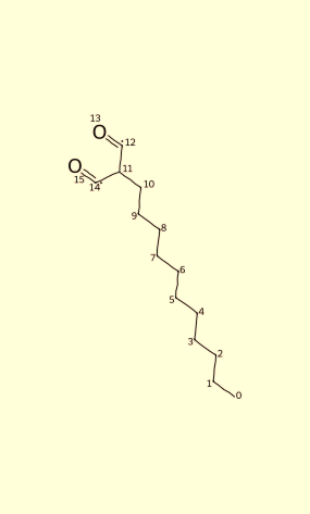 CCCCCCCCCCCC([C]=O)[C]=O